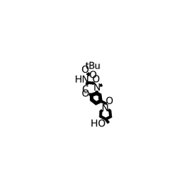 CN1C(=O)[C@@H](NC(=O)OC(C)(C)C)COc2ccc(C(=O)N3CCC(C)(O)CC3)cc21